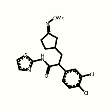 CON=C1CCC(CC(C(=O)Nc2nccs2)c2ccc(Cl)c(Cl)c2)C1